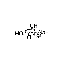 OCc1ccc2c(O)cc(-c3nc(Br)cs3)nc2c1Cl